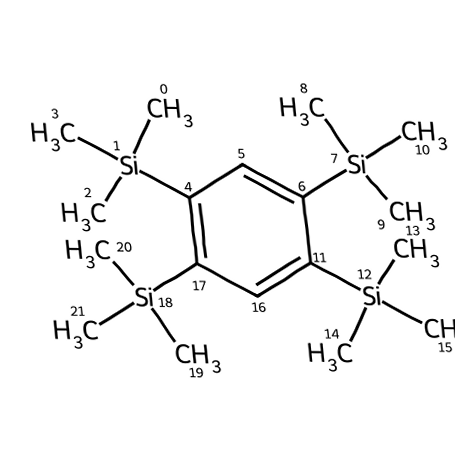 C[Si](C)(C)c1cc([Si](C)(C)C)c([Si](C)(C)C)cc1[Si](C)(C)C